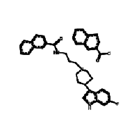 O=C(Cl)c1ccc2ccccc2c1.O=C(NCCCN1CCC(c2c[nH]c3cc(F)ccc23)CC1)c1ccc2ccccc2c1